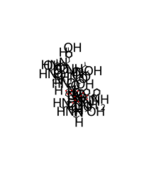 CC(C)C[C@H](NC(=O)[C@H](CO)NC(=O)CNC(=O)[C@H](Cc1ccc(O)cc1)NC(=O)[C@H](C)NC(=O)[C@H](CO)NC(=O)[C@H](C)NC(=O)CNC(=O)[C@@H]1CCCN1C(=O)[C@@H]1CCCN1C(=O)[C@H](C)NC(=O)[C@H](Cc1ccccc1)NC(=O)[C@H](CC(=O)O)NC(=O)[C@H](CC(C)C)NC(=O)[C@@H](NC(=O)[C@@H]1CCCN1C(=O)[C@H](C)NC(=O)[C@@H](N)Cc1c[nH]c2ccccc12)C(C)C)C(=O)O